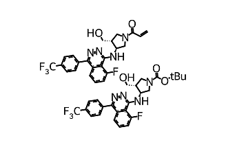 C=CC(=O)N1C[C@@H](CO)[C@H](Nc2nnc(-c3ccc(C(F)(F)F)cc3)c3cccc(F)c23)C1.CC(C)(C)OC(=O)N1C[C@@H](CO)[C@H](Nc2nnc(-c3ccc(C(F)(F)F)cc3)c3cccc(F)c23)C1